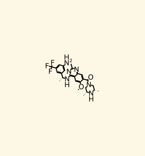 COc1cc2c(N[C@H](C)c3cc(N)cc(C(F)(F)F)c3)nc(C)nc2cc1C(=O)N1C[C@@H](C)N[C@@H](C)C1